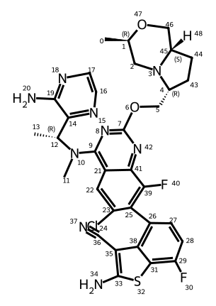 C[C@@H]1CN2[C@@H](COc3nc(N(C)[C@H](C)c4nccnc4N)c4cc(Cl)c(-c5ccc(F)c6sc(N)c(C#N)c56)c(F)c4n3)CC[C@H]2CO1